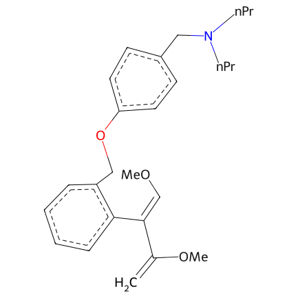 C=C(OC)/C(=C/OC)c1ccccc1COc1ccc(CN(CCC)CCC)cc1